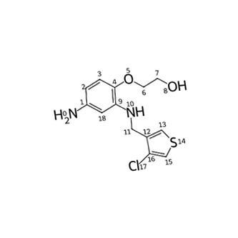 Nc1ccc(OCCO)c(NCc2cscc2Cl)c1